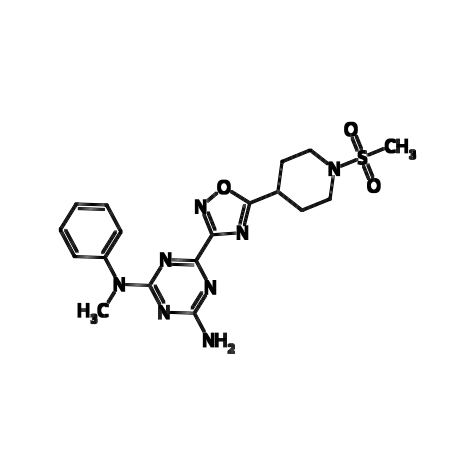 CN(c1ccccc1)c1nc(N)nc(-c2noc(C3CCN(S(C)(=O)=O)CC3)n2)n1